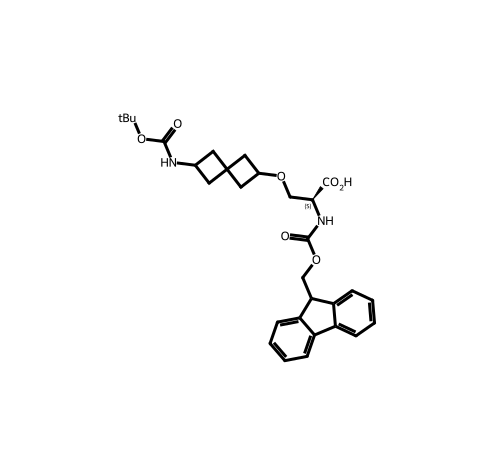 CC(C)(C)OC(=O)NC1CC2(C1)CC(OC[C@H](NC(=O)OCC1c3ccccc3-c3ccccc31)C(=O)O)C2